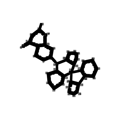 Cc1cc(=O)c2ccc(N3c4ccccc4[Si]4(c5ccccc5-c5ccccc54)c4ccccc43)cc2o1